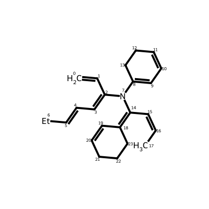 C=C/C(=C\C=C\CC)N(C1=CC=CCC1)C(/C=C\C)=C1\C=CCCC1